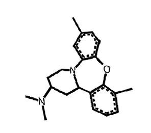 Cc1ccc2c(c1)N1CCC(N(C)C)CC1c1cccc(C)c1O2